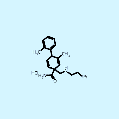 CC1=CC(CNCCC(C)C)(C(N)=O)C=CC1c1ccccc1C.Cl